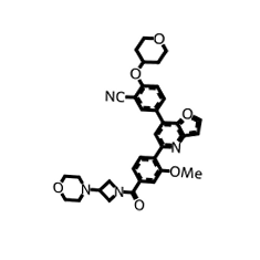 COc1cc(C(=O)N2CC(N3CCOCC3)C2)ccc1-c1cc(-c2ccc(OC3CCOCC3)c(C#N)c2)c2occc2n1